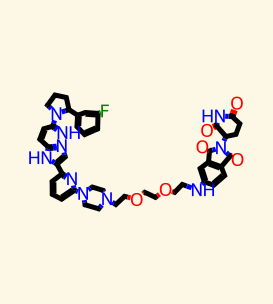 N=C(/C=C\c1ncc(-c2cccc(N3CCN(CCOCCOCCNc4ccc5c(c4)C(=O)N(C4CCC(=O)NC4=O)C5=O)CC3)n2)[nH]1)N1CCCC1c1cccc(F)c1